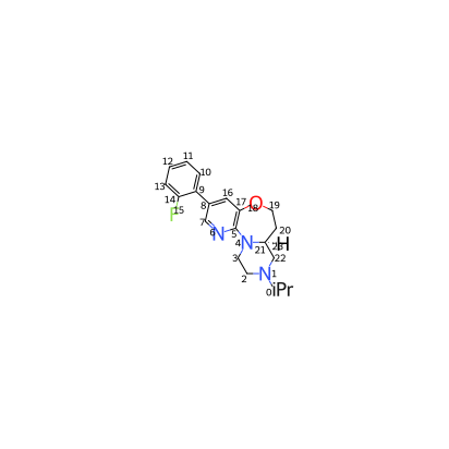 CC(C)N1CCN2c3ncc(-c4ccccc4F)cc3OCC[C@H]2C1